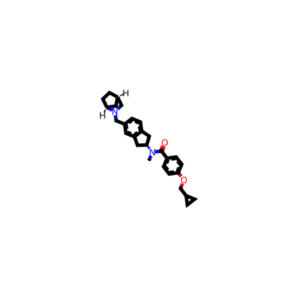 CN(C(=O)c1ccc(OCC2CC2)cc1)[C@@H]1Cc2ccc(CN3C[C@@H]4CC[C@H]3C4)cc2C1